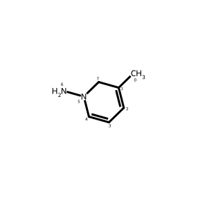 CC1=CC=CN(N)C1